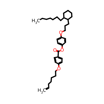 C=CCCCCCOc1ccc(C(=O)Oc2ccc(OCCCC3CCCCC3CCCCCCC)cc2)cc1